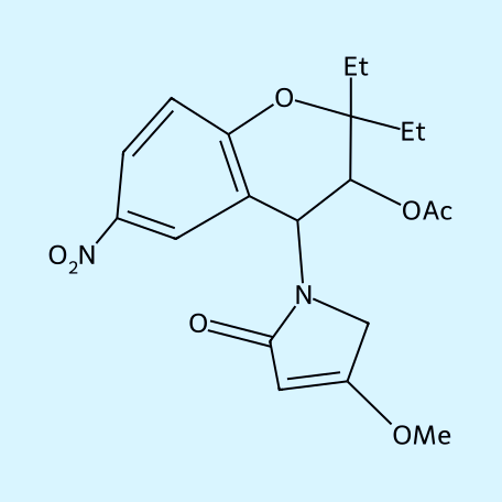 CCC1(CC)Oc2ccc([N+](=O)[O-])cc2C(N2CC(OC)=CC2=O)C1OC(C)=O